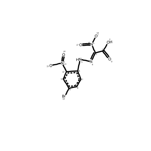 O=C(O)/C(=N/Nc1ccc(Br)cc1[N+](=O)[O-])[N+](=O)[O-]